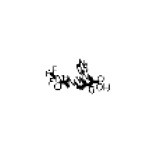 O=C(O)c1cn(-c2ncns2)c2nc(N3CC(C(=O)NC(F)C(F)F)C3)ccc2c1=O